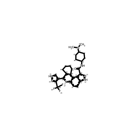 CN(C)C1CCC(NC(=O)c2n[nH]c3ccc4nc(-c5c[nH]nc5C(F)(F)F)c5c(c4c23)CCCC5)CC1